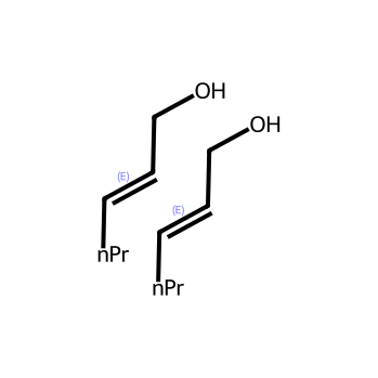 CCC/C=C/CO.CCC/C=C/CO